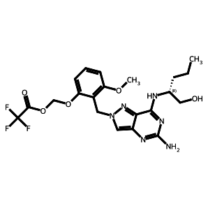 CCC[C@H](CO)Nc1nc(N)nc2cn(Cc3c(OC)cccc3OCOC(=O)C(F)(F)F)nc12